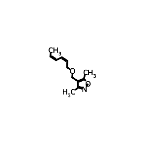 C/C=C\C=C/COCc1c(C)noc1C